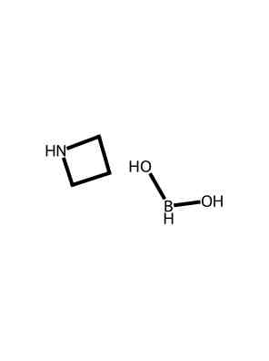 C1CNC1.OBO